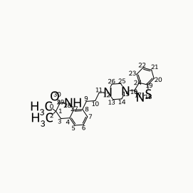 CC1(C)Cc2cccc(CCCN3CCN(c4nsc5ccccc45)CC3)c2NC1=O